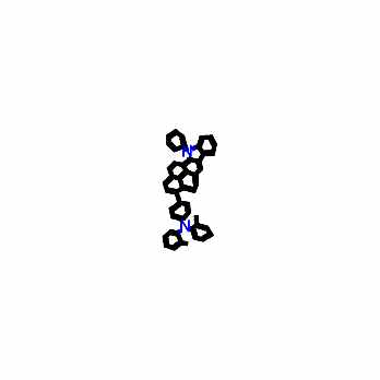 Cc1ccccc1N(c1ccc(-c2ccc3ccc4c5c(ccc2c35)cc2c3ccccc3n(-c3ccccc3)c24)cc1)c1ccccc1C